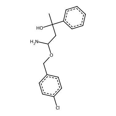 CC(O)(CC(N)OCc1ccc(Cl)cc1)c1ccccc1